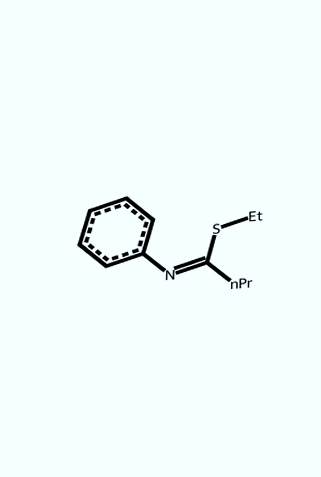 CCC/C(=N/c1ccccc1)SCC